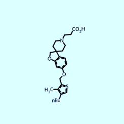 CCCCc1csc(COc2ccc3c(c2)OCC32CCN(CCC(=O)O)CC2)c1C